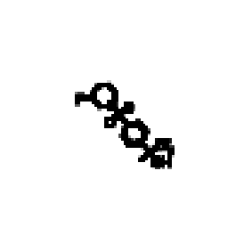 CC(O)(c1ccc(S(=O)(=O)N2CCCC(F)C2)cc1)C(F)(F)F